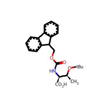 C[C@H](OC(C)(C)C)[C@H](NC(=O)OCC1c2ccccc2-c2ccccc21)C(=O)O